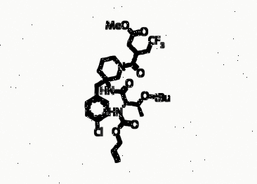 C=CCOC(=O)N[C@H](C(=O)NC1(Cc2ccc(Cl)cc2)CCCN(C(=O)C(CC(=O)OC)CC(F)(F)F)C1)[C@H](C)OC(C)(C)C